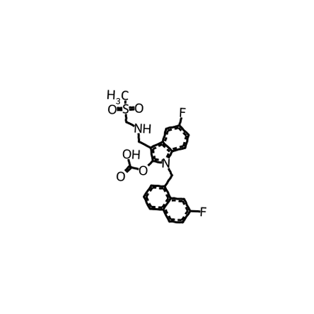 CS(=O)(=O)CNCc1c(OC(=O)O)n(Cc2cccc3ccc(F)cc23)c2ccc(F)cc12